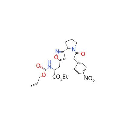 C=CCOC(=O)NC(Cc1cc(C2CCCN2C(=O)Cc2ccc([N+](=O)[O-])cc2)no1)C(=O)OCC